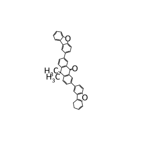 CC1(C)c2ccc(-c3ccc4oc5c(c4c3)CCC=C5)cc2C(=O)c2cc(-c3ccc4oc5ccccc5c4c3)ccc21